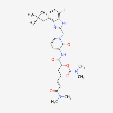 CN(C)C(=O)/C=C/CCC(OC(=O)N(C)C)C(=O)Nc1cccn(Cc2nc3c(CC(C)(C)C)ccc(F)c3[nH]2)c1=O